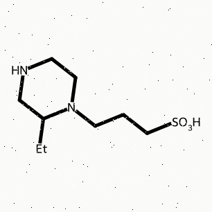 CCC1CNCCN1CCCS(=O)(=O)O